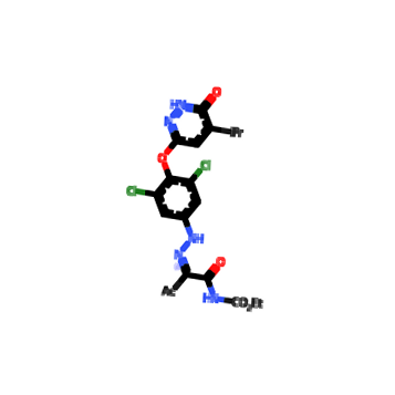 CCOC(=O)NC(=O)/C(=N\Nc1cc(Cl)c(Oc2cc(C(C)C)c(=O)[nH]n2)c(Cl)c1)C(C)=O